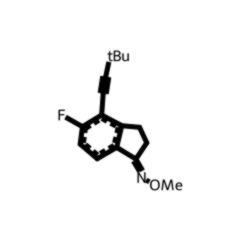 CON=C1CCc2c1ccc(F)c2C#CC(C)(C)C